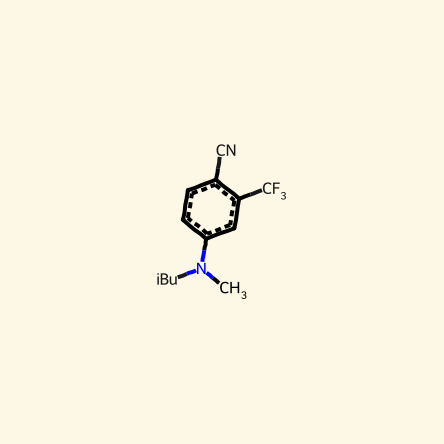 CCC(C)N(C)c1ccc(C#N)c(C(F)(F)F)c1